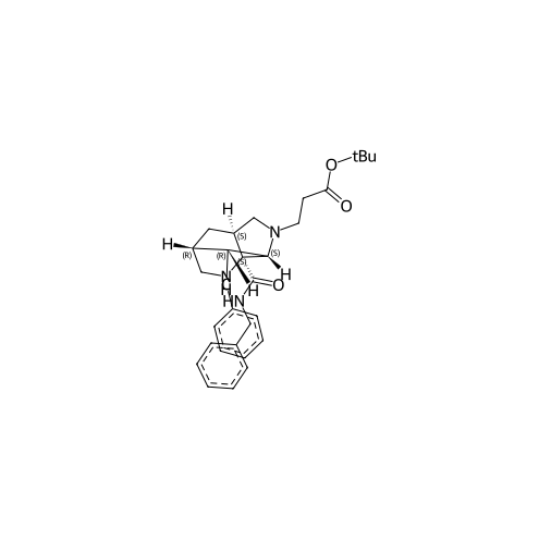 CC(C)(C)OC(=O)CCN1C[C@@H]2C[C@H]3CN[C@]2(C(=O)NCc2ccccc2)[C@@H]1[C@@H]3Cc1ccccc1